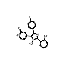 O=c1cc(-c2c(-c3ccc(F)cc3)nc(-c3ccccc3O)n2O)cc[nH]1